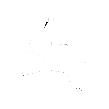 COC(C)C(C)C(=O)N1C2CCCC2C[C@H]1C(C)C